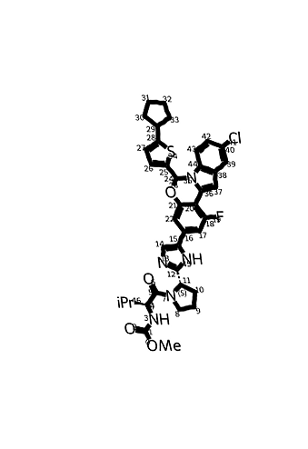 COC(=O)N[C@H](C(=O)N1CCC[C@H]1c1ncc(-c2cc(F)c3c(c2)OC(c2ccc(C4CCCC4)s2)n2c-3cc3cc(Cl)ccc32)[nH]1)C(C)C